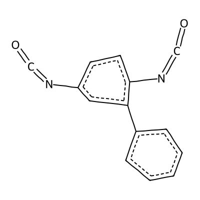 O=C=Nc1ccc(N=C=O)c(-c2ccccc2)c1